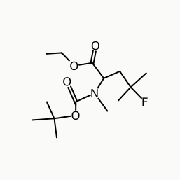 CCOC(=O)C(CC(C)(C)F)N(C)C(=O)OC(C)(C)C